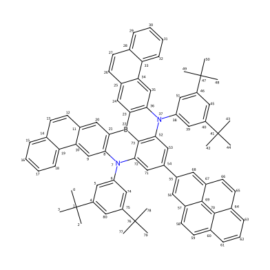 CC(C)(C)c1cc(N2c3cc4c(ccc5ccccc54)cc3B3c4cc5ccc6ccccc6c5cc4N(c4cc(C(C)(C)C)cc(C(C)(C)C)c4)c4cc(-c5cc6ccc7cccc8ccc(c5)c6c78)cc2c43)cc(C(C)(C)C)c1